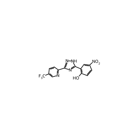 O=[N+]([O-])c1ccc(O)c(-c2nc(-c3ccc(C(F)(F)F)cn3)n[nH]2)c1